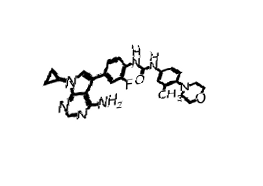 Cc1cc(NC(=O)Nc2ccc(-c3cn(C4CC4)c4ncnc(N)c34)cc2F)ccc1N1CCOCC1